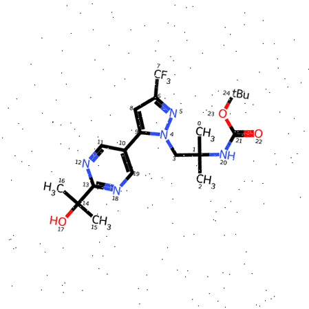 CC(C)(Cn1nc(C(F)(F)F)cc1-c1cnc(C(C)(C)O)nc1)NC(=O)OC(C)(C)C